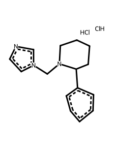 Cl.Cl.c1ccc(C2CCCCN2Cn2ccnc2)cc1